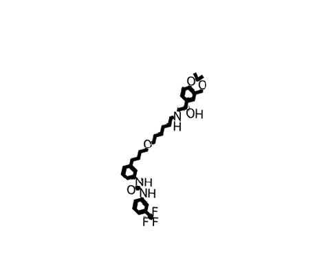 CC1(C)OCc2cc([C@@H](O)CNCCCCCCOCCCCc3cccc(NC(=O)Nc4cccc(C(F)(F)F)c4)c3)ccc2O1